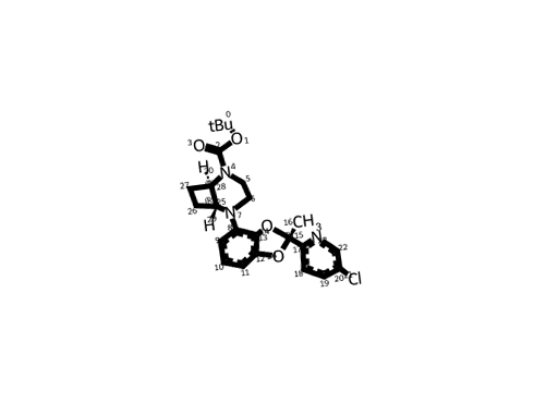 CC(C)(C)OC(=O)N1CCN(c2cccc3c2O[C@](C)(c2ccc(Cl)cn2)O3)[C@@H]2CC[C@H]21